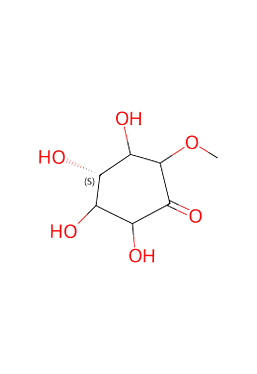 COC1C(=O)C(O)C(O)[C@H](O)C1O